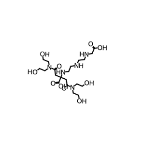 O=C(O)CNCCNCCNC(CC(=O)N(CCO)CCO)(CC(=O)N(CCO)CCO)C(=O)O